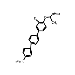 CCCCCCC(C)Oc1ccc(-c2ccc(-c3ccc(CCCCC)cc3)cc2)cc1F